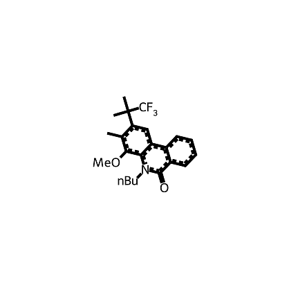 CCCCn1c(=O)c2ccccc2c2cc(C(C)(C)C(F)(F)F)c(C)c(OC)c21